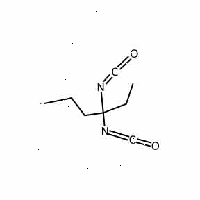 [CH2]CCC(CC)(N=C=O)N=C=O